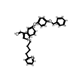 O=Cc1cn(CCCCc2ccccn2)c2ccc(Oc3ccc(OCc4ccccc4)cc3)cc12